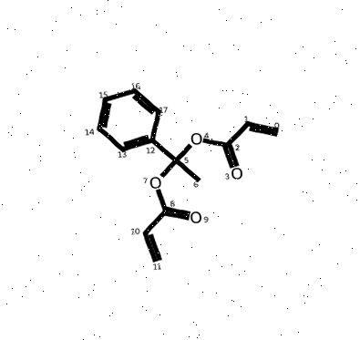 C=CC(=O)OC(C)(OC(=O)C=C)c1ccccc1